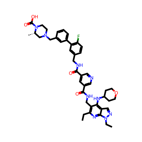 CCc1nc2c(cnn2CC)c(NC2CCOCC2)c1CNC(=O)c1cncc(C(=O)NCc2ccc(F)c(-c3cccc(CN4CCN(C(=O)O)[C@@H](C)C4)c3)c2)c1